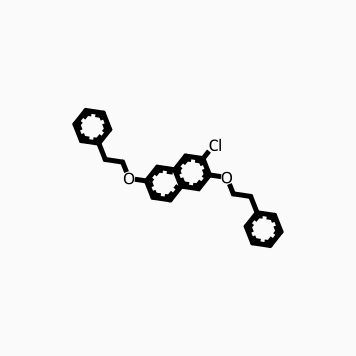 Clc1cc2cc(OCCc3ccccc3)ccc2cc1OCCc1ccccc1